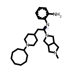 CN1CC2CN(/C(CC3CCN(C4CCCCCCC4)CC3)=N/c3ccccc3N)CC2C1